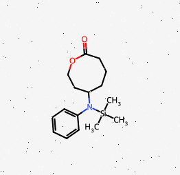 C[Si](C)(C)N(c1ccccc1)C1CCCC(=O)OCC1